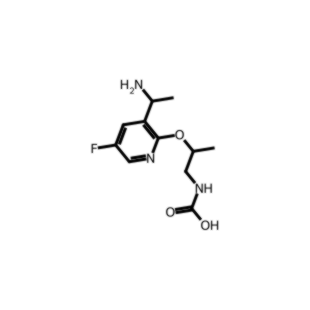 CC(CNC(=O)O)Oc1ncc(F)cc1C(C)N